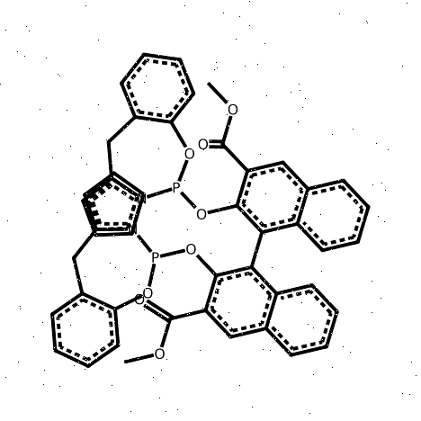 COC(=O)c1cc2ccccc2c(-c2c(OP3Oc4ccccc4Cc4cccn43)c(C(=O)OC)cc3ccccc23)c1OP1Oc2ccccc2Cc2cccn21